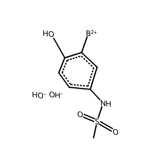 [B+2]c1cc(NS(C)(=O)=O)ccc1O.[OH-].[OH-]